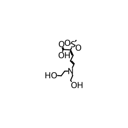 CS(=O)(=O)C(=CC=CN(CCO)CCO)C(=O)O